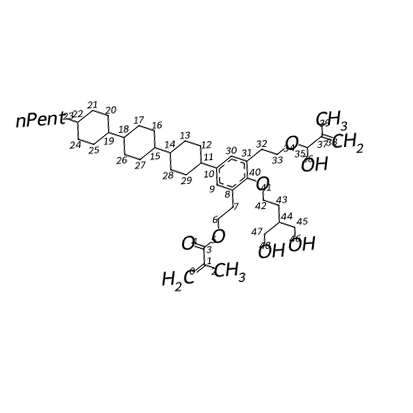 C=C(C)C(=O)OCCc1cc(C2CCC(C3CCC(C4CCC(CCCCC)CC4)CC3)CC2)cc(CCOC(O)C(=C)C)c1OCCC(CO)CO